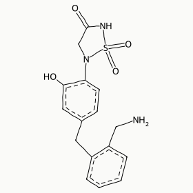 NCc1ccccc1Cc1ccc(N2CC(=O)NS2(=O)=O)c(O)c1